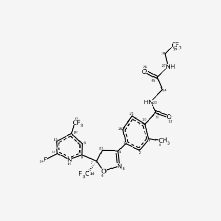 Cc1cc(C2=NO[C@](c3cc(C(F)(F)F)cc(F)n3)(C(F)(F)F)C2)ccc1C(=O)NCC(=O)NCC(F)(F)F